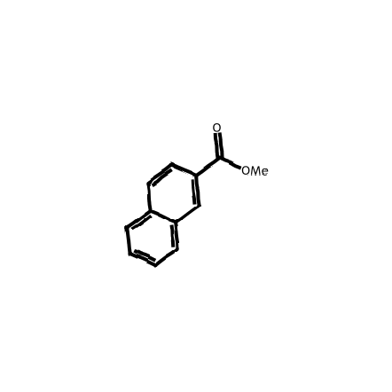 [CH2]OC(=O)c1ccc2ccccc2c1